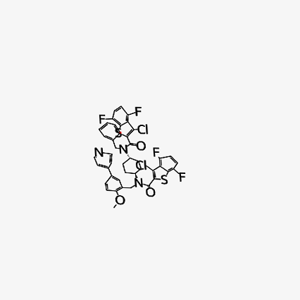 COc1ccc(-c2ccncc2)cc1CN(C(=O)c1sc2c(F)ccc(F)c2c1Cl)[C@H]1CC[C@H](N(Cc2ccccc2)C(=O)c2sc3c(F)ccc(F)c3c2Cl)CC1